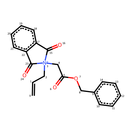 C=CC[N+]1(CC(=O)OCc2ccccc2)C(=O)c2ccccc2C1=O